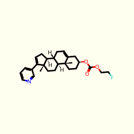 C[C@]12CC[C@H](OC(=O)OCCF)CC1=CC[C@@H]1[C@@H]2CC[C@]2(C)C(c3cccnc3)=CC[C@@H]12